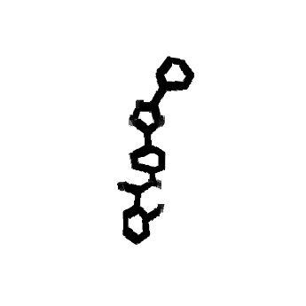 O=C(Nc1ccc(-c2nnc(-c3ccccc3)o2)cc1)c1ccccc1F